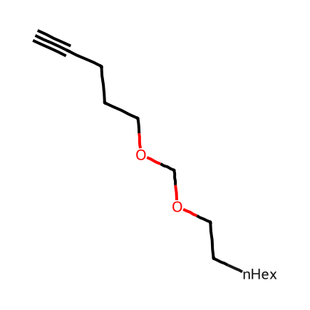 C#CCCCOCOCCCCCCCC